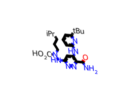 CC(C)CCCN(Nc1cc(Nc2cccc(C(C)(C)C)n2)c(C(N)=O)nn1)C(=O)O